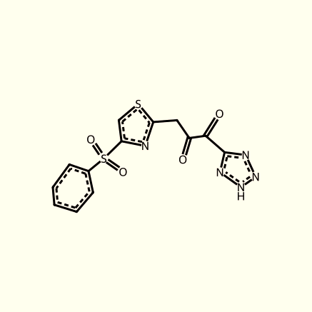 O=C(Cc1nc(S(=O)(=O)c2ccccc2)cs1)C(=O)c1nn[nH]n1